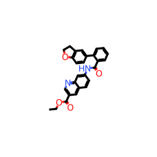 CCOC(=O)c1cnc2cc(NC(=O)c3ccccc3-c3ccc4c(c3)CCO4)ccc2c1